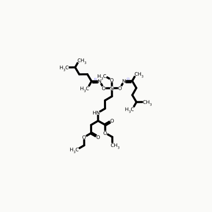 CCOC(=O)CC(NCCC[Si](OC)(O/N=C(/C)CCC(C)C)O/N=C(\C)CCC(C)C)C(=O)OCC